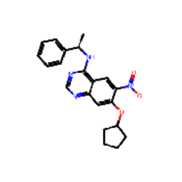 C[C@@H](Nc1ncnc2cc(OC3CCCC3)c([N+](=O)[O-])cc12)c1ccccc1